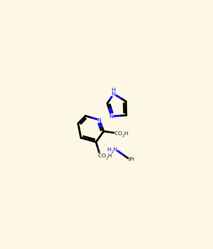 CC(C)N.O=C(O)c1cccnc1C(=O)O.c1c[nH]cn1